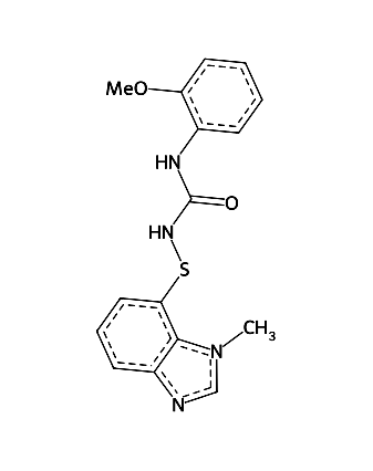 COc1ccccc1NC(=O)NSc1cccc2ncn(C)c12